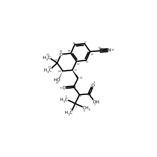 CC(C)(C)C(C(=O)O)C(=O)C[C@@H]1c2cc(C#N)ccc2OC(C)(C)[C@H]1O